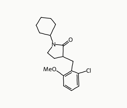 COc1cccc(Cl)c1CC1CCN(C2CCCCC2)C1=O